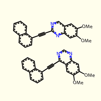 COc1cc2cnc(C#Cc3cccc4ccccc34)nc2cc1OC.COc1cc2ncnc(C#Cc3cccc4ccccc34)c2cc1OC